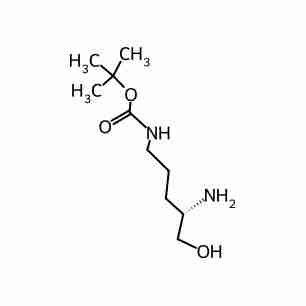 CC(C)(C)OC(=O)NCCC[C@H](N)CO